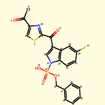 CCC(=O)c1csc(C(=O)c2cn(P(=O)(O)OCc3ccccc3)c3ccc(F)cc23)n1